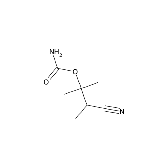 CC(C#N)C(C)(C)OC(N)=O